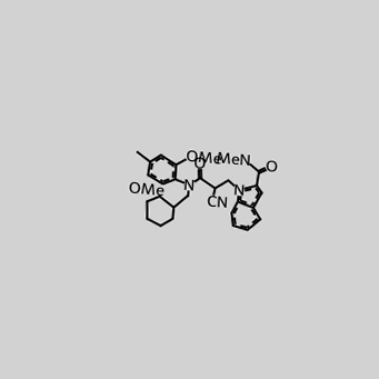 CNC(=O)c1cc2ccccc2n1CC(C#N)C(=O)N(CC1CCCCC1)c1c(OC)cc(C)cc1OC